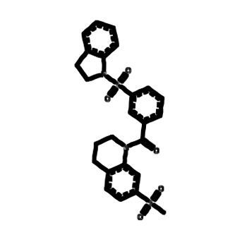 CS(=O)(=O)c1ccc2c(c1)N(C(=O)c1cccc(S(=O)(=O)N3CCc4ccccc43)c1)CCC2